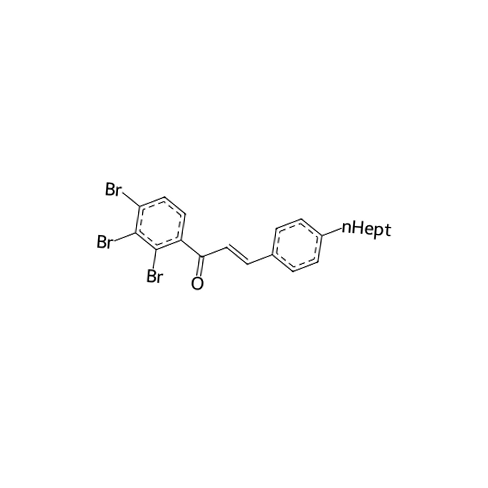 CCCCCCCc1ccc(C=CC(=O)c2ccc(Br)c(Br)c2Br)cc1